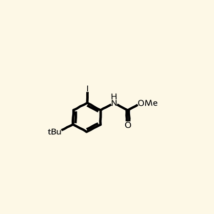 COC(=O)Nc1ccc(C(C)(C)C)cc1I